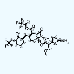 CO/N=C(\C(=O)N[C@@H]1C(=O)N2C(C(=O)OC(=O)C(F)(F)F)=C(C=C3CCCN(CC(F)(F)F)C3=O)CS[C@H]12)c1csc(N)n1